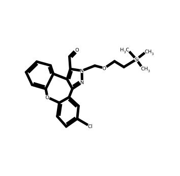 C[Si](C)(C)CCOCn1nc2c(c1C=O)-c1ccccc1Oc1ccc(Cl)cc1-2